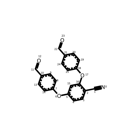 N#Cc1ccc(Oc2ccc(C=O)cc2)cc1Oc1ccc(C=O)cc1